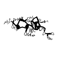 CCCCCCC(C)(C)c1cc(C)c([C@H]2C=C(COC(=O)C(C)(C)C)[C@H]3C[C@@H]2C3(C)C)c(OC)c1